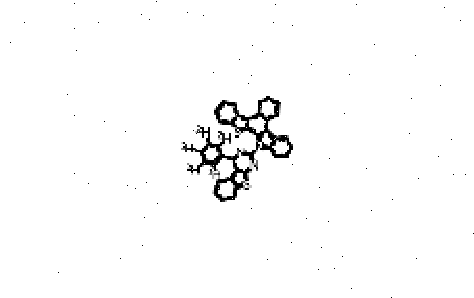 [2H]c1c([2H])c([2H])c(-c2nc(-n3c4ccccc4c4c5ccccc5c5c6ccccc6sc5c43)nc3sc4ccccc4c23)c([2H])c1[2H]